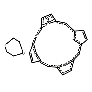 C1=Cc2cc3ccc(cc4nc(cc5ccc(cc1n2)[nH]5)C=C4)[nH]3.C1COCCO1